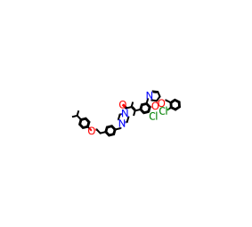 CC(C(=O)N1CCN(Cc2ccc(CCOc3ccc(C(C)C)cc3)cc2)CC1)=C(C)c1cc(C)c(OC2(OCc3ccccc3Cl)C=NC=CC2)c(Cl)c1